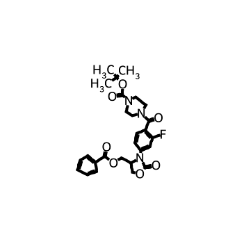 CC(C)(C)OC(=O)N1CCN(C(=O)c2ccc(N3C(=O)OCC3COC(=O)c3ccccc3)cc2F)CC1